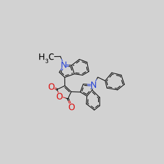 CCn1cc(C2=C(c3cn(Cc4ccccc4)c4ccccc34)C(=O)OC2=O)c2ccccc21